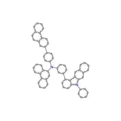 c1ccc(-n2c3cc4ccccc4cc3c3c(-c4cccc(N(c5ccc(-c6ccc7c(ccc8ccccc87)c6)cc5)c5cc6ccccc6c6ccccc56)c4)cccc32)cc1